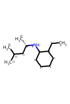 CCC1CCCCC1N[C@@H](C)CC(C)C